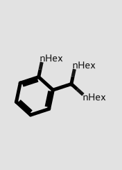 CCCCCC[C](CCCCCC)c1ccccc1CCCCCC